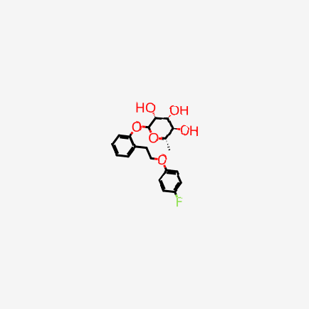 C[C@@H]1OC(Oc2ccccc2CCOc2ccc(F)cc2)[C@H](O)[C@H](O)[C@H]1O